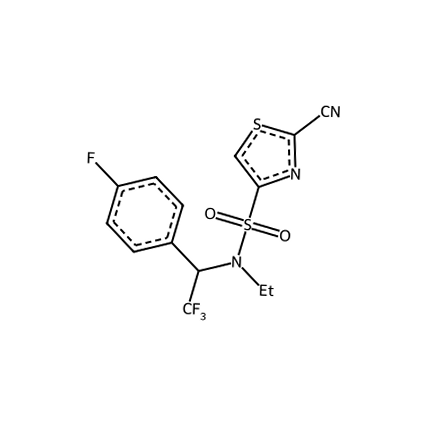 CCN(C(c1ccc(F)cc1)C(F)(F)F)S(=O)(=O)c1csc(C#N)n1